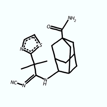 CC(C)(/C(=N\C#N)NC1C2CC3CC1CC(C(N)=O)(C3)C2)c1nccs1